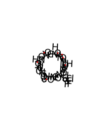 CC[C@H](C)[C@@H]1NC(=O)[C@H](CC(C)C)N(C)C(=O)C[C@@H](C)NC(=O)[C@H](C(C)C)N(C)C(=O)C2(CCCC2)NC(=O)[C@@H]2CCCN2C(=O)[C@H](CCc2ccc(C(F)(F)F)c(Cl)c2)NC(=O)CN(C)C(=O)[C@H](CC2CCCCC2)N(C)C(=O)CN(C)C(=O)CN(CC(C)C)C1=O